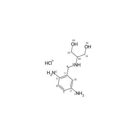 Cl.Nc1ccc(N)c(CNC(CO)CO)c1